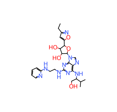 CCc1cc(C2OC(n3cnc4c(NC(CO)C(C)C)nc(NCCNc5ccccn5)nc43)C(O)C2O)on1